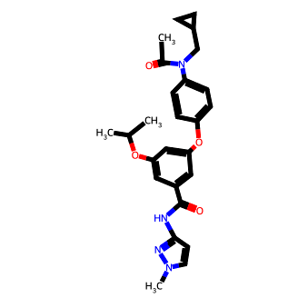 CC(=O)N(CC1CC1)c1ccc(Oc2cc(OC(C)C)cc(C(=O)Nc3ccn(C)n3)c2)cc1